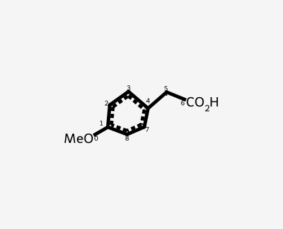 COc1ccc([CH]C(=O)O)cc1